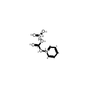 O=C(O[n+]1ccccc1)O[SH](=O)=O